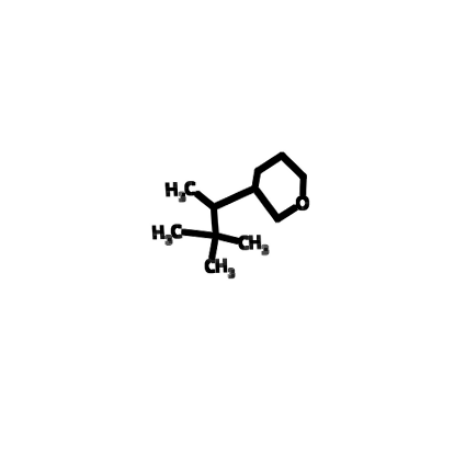 CC(C1CCCOC1)C(C)(C)C